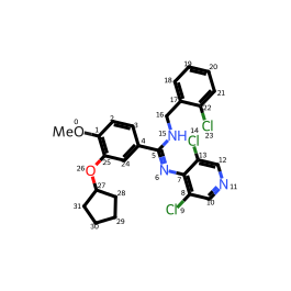 COc1ccc(C(=Nc2c(Cl)cncc2Cl)NCc2ccccc2Cl)cc1OC1CCCC1